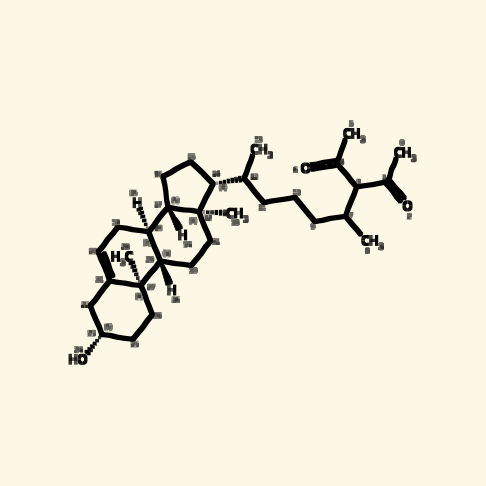 CC(=O)C(C(C)=O)C(C)CCCC(C)[C@H]1CC[C@H]2[C@@H]3CC=C4C[C@@H](O)CC[C@]4(C)[C@H]3CC[C@]12C